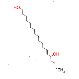 CCCC[C@H](O)/C=C/CCCCCCCCCCCCO